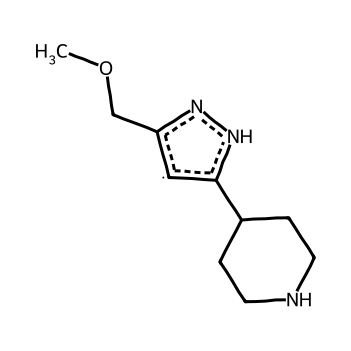 COCc1[c]c(C2CCNCC2)[nH]n1